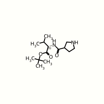 CC(C)[C@H](NC(=O)C1CCNC1)C(=O)OC(C)(C)C